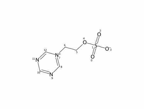 O=S(=O)([O-])OCC[n+]1cncnc1